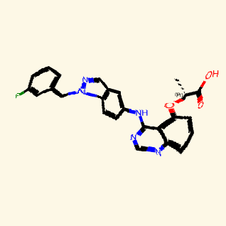 C[C@@H](Oc1cccc2ncnc(Nc3ccc4c(cnn4Cc4cccc(F)c4)c3)c12)C(=O)O